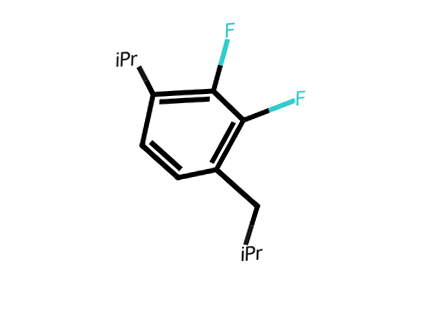 CC(C)Cc1ccc(C(C)C)c(F)c1F